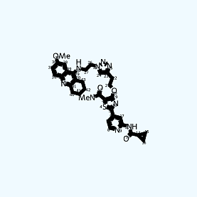 CNC(=O)c1sc(-c2ccnc(NC(=O)C3CC3)c2)nc1OCCc1cn(CCNc2c3c(nc4ccc(OC)cc24)CCCC3)nn1